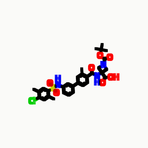 Cc1cc(S(=O)(=O)Nc2cccc(-c3ccc(C(=O)NC4(C(=O)O)CN(C(=O)OC(C)(C)C)C4)c(C)c3)c2)c(C)cc1Cl